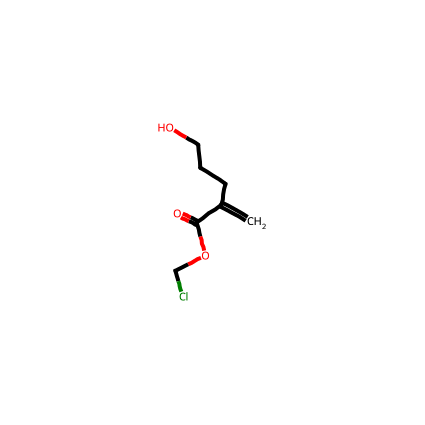 C=C(CCCO)C(=O)OCCl